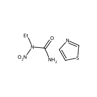 CCN(C(N)=O)[N+](=O)[O-].c1cscn1